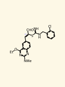 CCOc1nc(NC)nc2ccc(/C=C(/C=O)SC(=N)NCc3ccccc3Cl)cc12